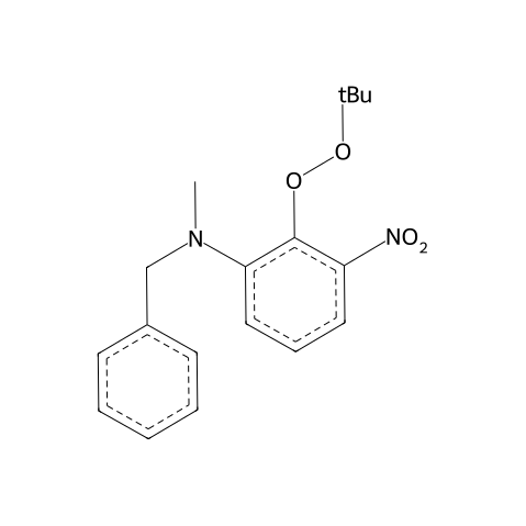 CN(Cc1ccccc1)c1cccc([N+](=O)[O-])c1OOC(C)(C)C